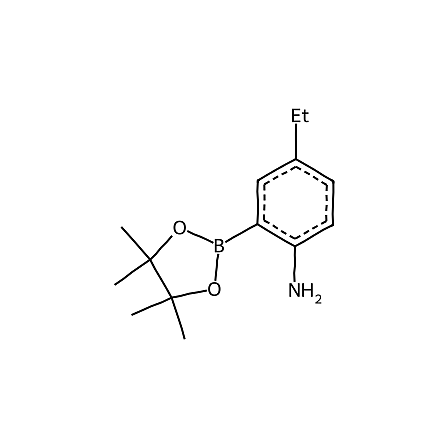 CCc1ccc(N)c(B2OC(C)(C)C(C)(C)O2)c1